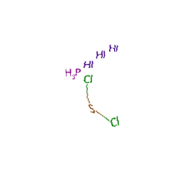 ClSCl.I.I.I.P